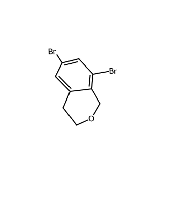 Brc1cc(Br)c2c(c1)CCOC2